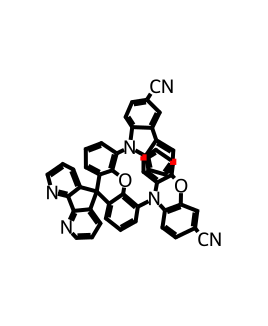 N#Cc1ccc2c(c1)Oc1ccccc1N2c1cccc2c1Oc1c(-n3c4ccccc4c4cc(C#N)ccc43)cccc1C21c2cccnc2-c2ncccc21